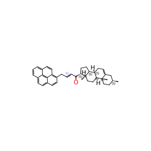 C[C@H]1CC[C@@]2(C)C(=CC[C@H]3[C@@H]4CC[C@H](C(=O)/C=C/Cc5ccc6ccc7cccc8ccc5c6c78)[C@@]4(C)CC[C@@H]32)C1